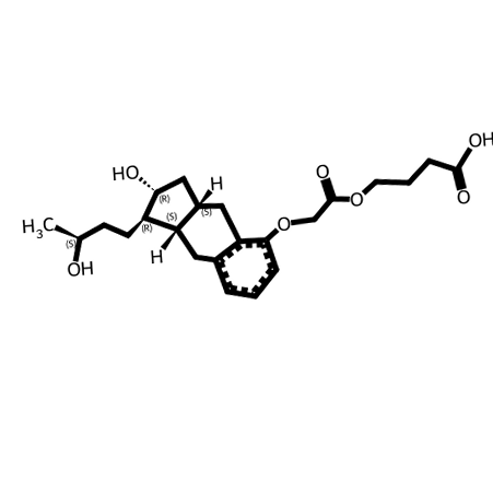 C[C@H](O)CC[C@@H]1[C@H]2Cc3cccc(OCC(=O)OCCCC(=O)O)c3C[C@H]2C[C@H]1O